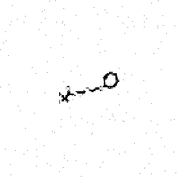 O=C(NCCOCCOC1C#CCCCCC1)C(F)(F)F